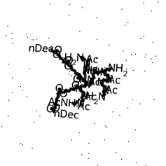 CCCCCCCCCCCC(=O)OCCCCCC(=O)OCCCCC(=O)N(CCN(CCNCCN(CCN(CCN)CCN(CCN(CCN(CCN)C(C)=O)C(C)=O)C(C)=O)C(C)=O)CCN(CCNCCN(CCN)C(C)=O)C(=O)CCCCCOC(=O)CCCCOC(=O)CCCCCCCCCCC)CCN(CCN(CCNC(C)=O)C(C)=O)C(C)=O